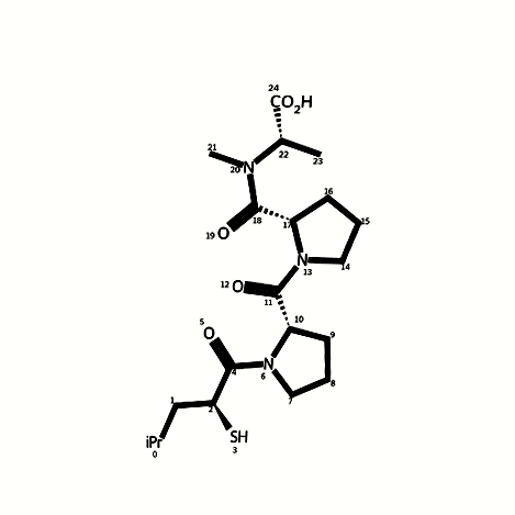 CC(C)C[C@H](S)C(=O)N1CCC[C@H]1C(=O)N1CCC[C@H]1C(=O)N(C)[C@@H](C)C(=O)O